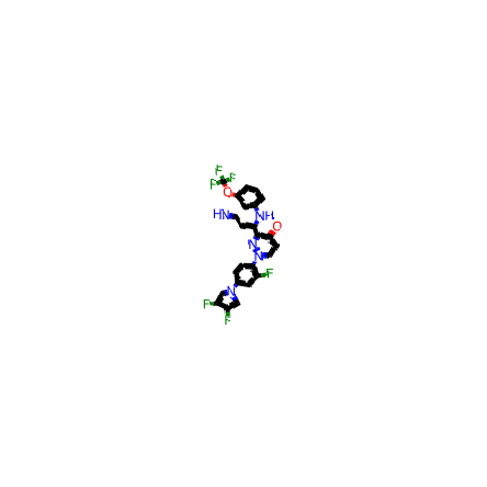 N=C/C=C(\Nc1cccc(OC(F)(F)F)c1)c1nn(-c2ccc(-n3cc(F)c(F)c3)cc2F)ccc1=O